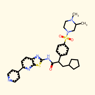 CC1CN(S(=O)(=O)c2ccc(C(CC3CCCC3)C(=O)Nc3nc4ccc(-c5ccncc5)nc4s3)cc2)CCN1C